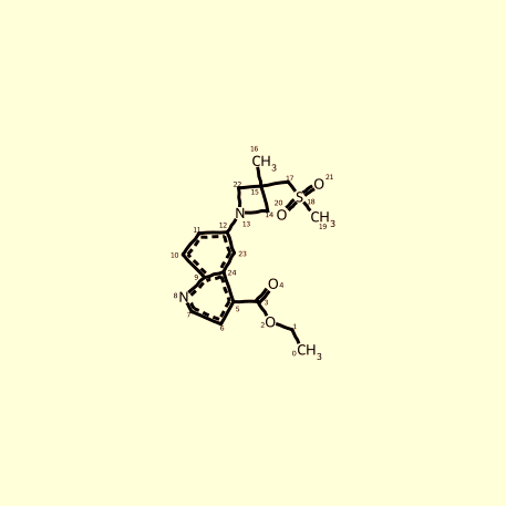 CCOC(=O)c1ccnc2ccc(N3CC(C)(CS(C)(=O)=O)C3)cc12